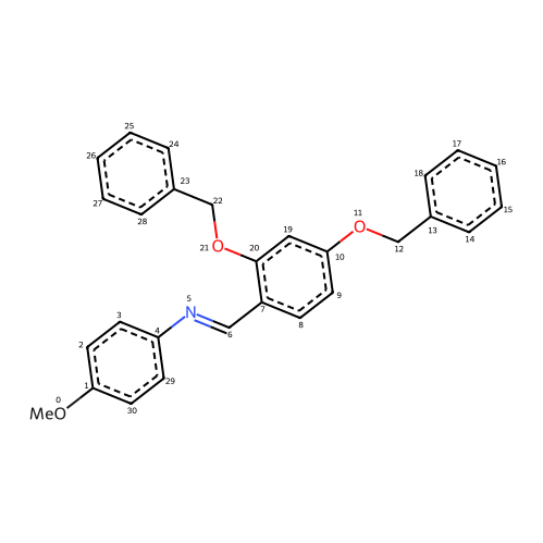 COc1ccc(/N=C/c2ccc(OCc3ccccc3)cc2OCc2ccccc2)cc1